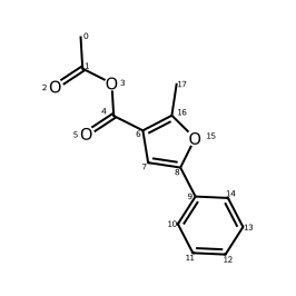 CC(=O)OC(=O)c1cc(-c2ccccc2)oc1C